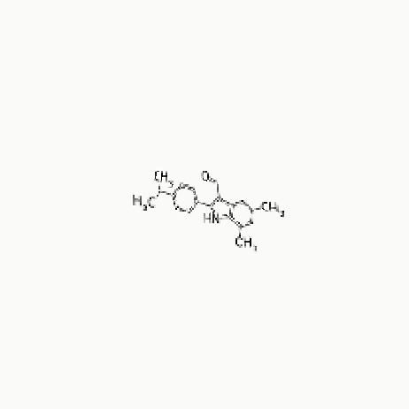 Cc1cc(C)c2[nH]c(-c3ccc(C(C)C)cc3)c(C=O)c2c1